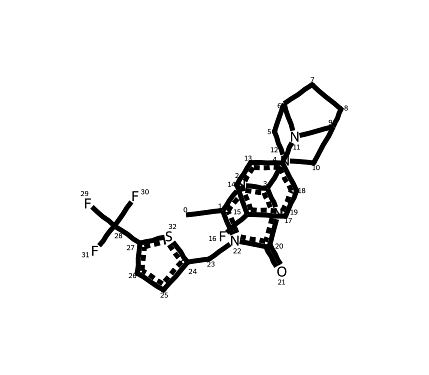 Cc1nc(N2CC3CCC(C2)N3c2ccc(F)cc2)nc(=O)n1Cc1ccc(C(F)(F)F)s1